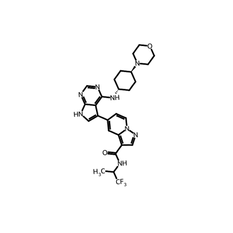 CC(NC(=O)c1cnn2ccc(-c3c[nH]c4ncnc(N[C@H]5CC[C@H](N6CCOCC6)CC5)c34)cc12)C(F)(F)F